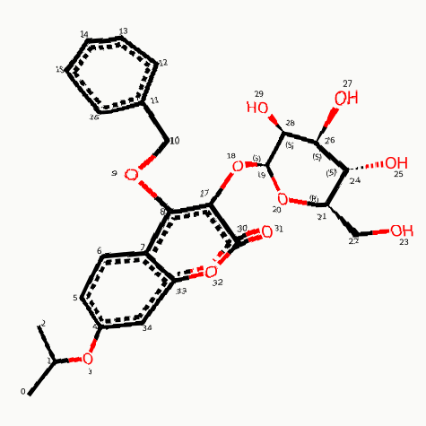 CC(C)Oc1ccc2c(OCc3ccccc3)c(O[C@@H]3O[C@H](CO)[C@@H](O)[C@H](O)[C@@H]3O)c(=O)oc2c1